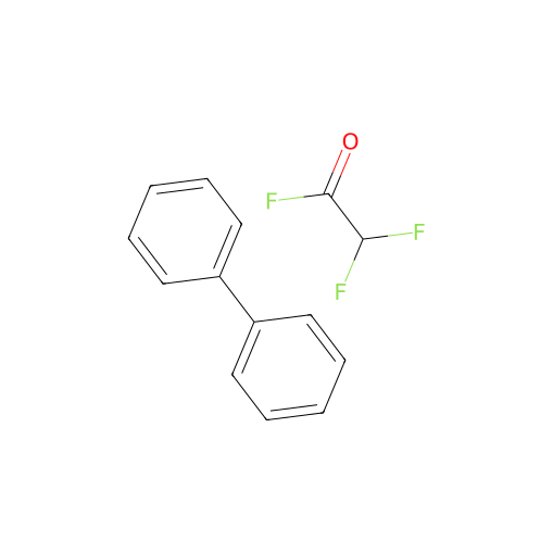 O=C(F)C(F)F.c1ccc(-c2ccccc2)cc1